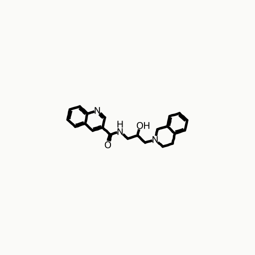 O=C(NCC(O)CN1CCc2ccccc2C1)c1cnc2ccccc2c1